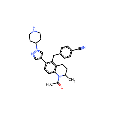 CC(=O)N1c2ccc(-c3cnn(C4CCNCC4)c3)c(Cc3ccc(C#N)cc3)c2CCC1C